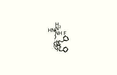 C[C@@H](CNCc1ccccc1)N1C[C@H](CCCNC(=N)N)N(CCc2cccc(F)c2)C1=S